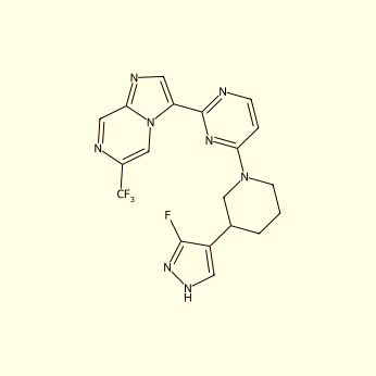 Fc1n[nH]cc1C1CCCN(c2ccnc(-c3cnc4cnc(C(F)(F)F)cn34)n2)C1